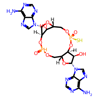 Nc1ncnc2c1ncn2[C@@H]1O[C@@H]2CO[PH](=O)O[C@@H]3C(O)[C@@H](CO[P@@](=O)(S)O[C@H]2[C@H]1O)O[C@H]3n1cnc2c(N)ncnc21